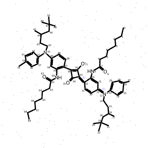 CCCCCCCC(=O)NC1=CC(=[N+](/CCC(C)CC(C)(C)C)c2ccc(C)cc2)/C=CC/1=C1\C(=O)C(c2ccc(N(CCC(C)CC(C)(C)C)c3ccc(C)cc3)cc2NC(=O)CCCCCCC)=C1[O-]